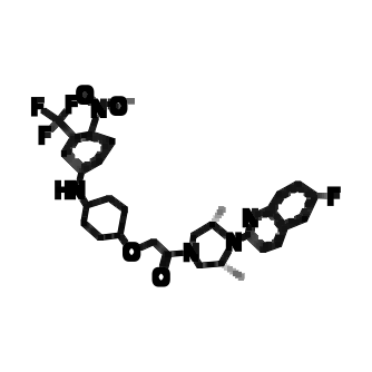 C[C@@H]1CN(C(=O)COC2CCC(Nc3ccc([N+](=O)[O-])c(C(F)(F)F)c3)CC2)C[C@H](C)N1c1ccc2cc(F)ccc2n1